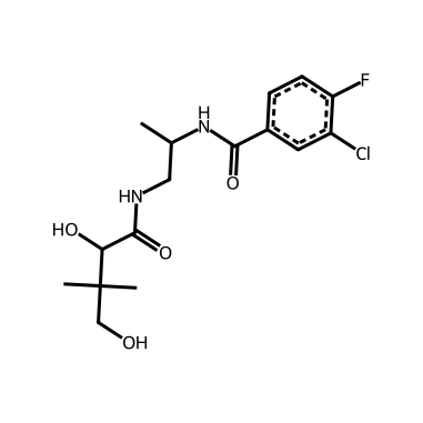 CC(CNC(=O)C(O)C(C)(C)CO)NC(=O)c1ccc(F)c(Cl)c1